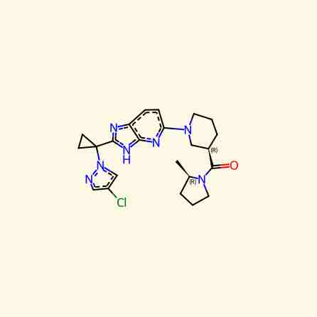 C[C@@H]1CCCN1C(=O)[C@@H]1CCCN(c2ccc3nc(C4(n5cc(Cl)cn5)CC4)[nH]c3n2)C1